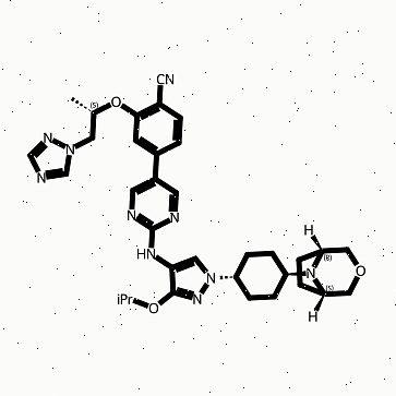 CC(C)Oc1nn([C@H]2CC[C@H](N3[C@@H]4CC[C@H]3COC4)CC2)cc1Nc1ncc(-c2ccc(C#N)c(O[C@@H](C)Cn3cncn3)c2)cn1